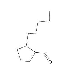 CCCCCC1CCCC1C=O